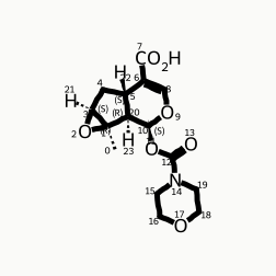 C[C@]12O[C@H]1C[C@@H]1C(C(=O)O)=CO[C@@H](OC(=O)N3CCOCC3)[C@H]12